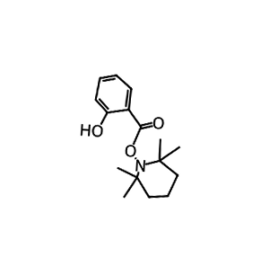 CC1(C)CCCC(C)(C)N1OC(=O)c1ccccc1O